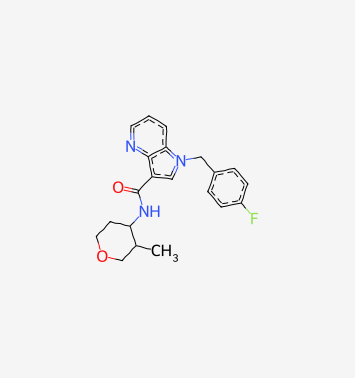 CC1COCCC1NC(=O)c1cn(Cc2ccc(F)cc2)c2cccnc12